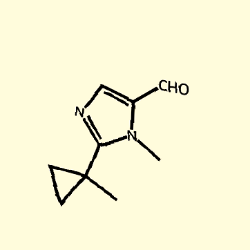 Cn1c(C=O)cnc1C1(C)CC1